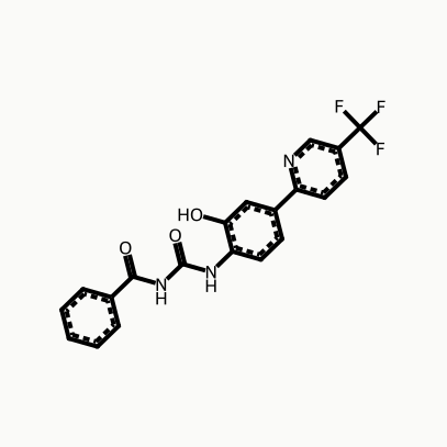 O=C(NC(=O)c1ccccc1)Nc1ccc(-c2ccc(C(F)(F)F)cn2)cc1O